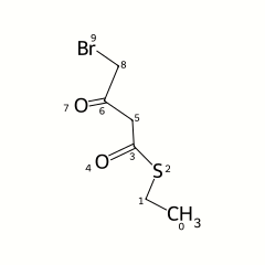 CCSC(=O)CC(=O)CBr